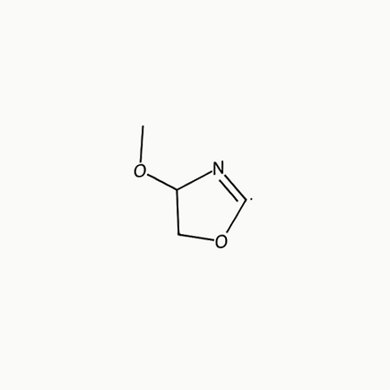 COC1CO[C]=N1